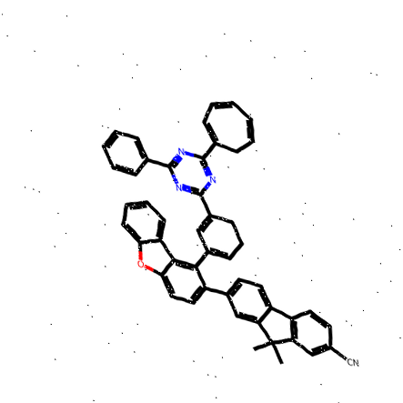 CC1(C)c2cc(C#N)ccc2-c2ccc(-c3ccc4oc5ccccc5c4c3C3=CCCC(c4nc(C5=CC=CC=CC5)nc(-c5ccccc5)n4)=C3)cc21